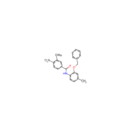 COc1cc(C(=O)Nc2ccc(C)cc2OCc2ccccc2)ccc1[N+](=O)[O-]